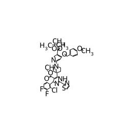 CCOC(=O)C1=C(C2CCN(c3cc(OCc4ccc(OC)cc4)c(C(=O)OC(C)(C)C)cn3)CC2)NC(c2nccs2)=NC1c1ccc(F)c(F)c1Cl